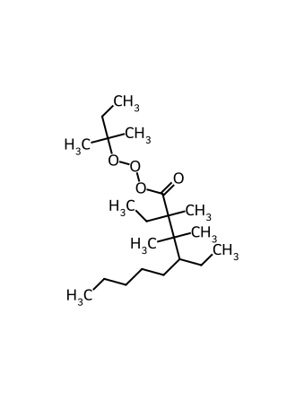 CCCCCC(CC)C(C)(C)C(C)(CC)C(=O)OOOC(C)(C)CC